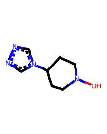 ON1CCC(n2cnnc2)CC1